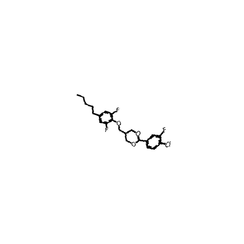 CCCCCc1cc(F)c(OCC2COC(c3ccc(Cl)c(F)c3)OC2)c(F)c1